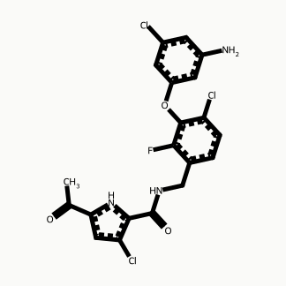 CC(=O)c1cc(Cl)c(C(=O)NCc2ccc(Cl)c(Oc3cc(N)cc(Cl)c3)c2F)[nH]1